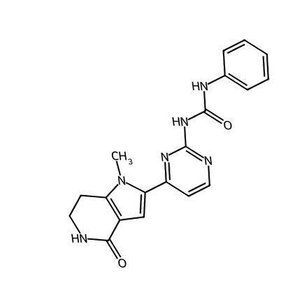 Cn1c(-c2ccnc(NC(=O)Nc3ccccc3)n2)cc2c1CCNC2=O